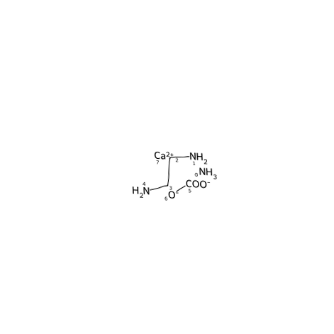 N.NCCN.O=C([O-])[O-].[Ca+2]